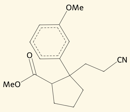 COC(=O)C1CCCC1(CCC#N)c1cccc(OC)c1